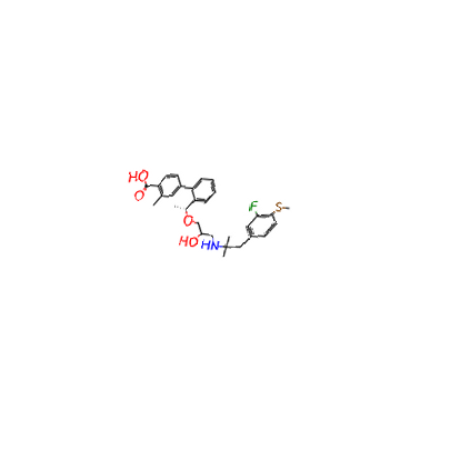 CSc1ccc(CC(C)(C)NCC(O)CO[C@H](C)c2ccccc2-c2ccc(C(=O)O)c(C)c2)cc1F